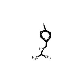 CC(C)NCc1ccc(I)cc1